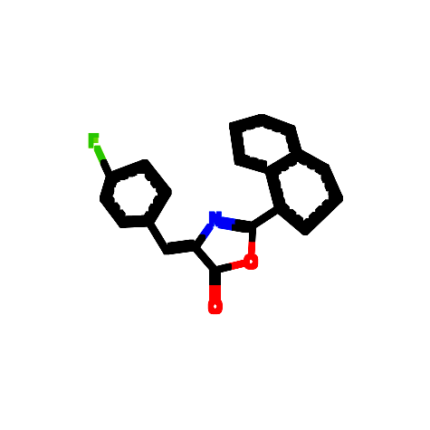 O=C1OC(c2cccc3ccccc23)=N/C1=C\c1ccc(F)cc1